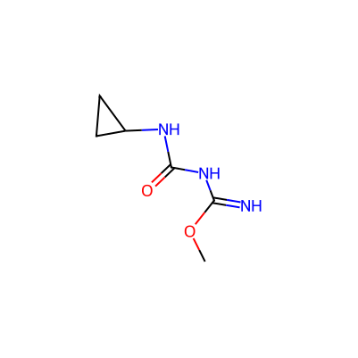 COC(=N)NC(=O)NC1CC1